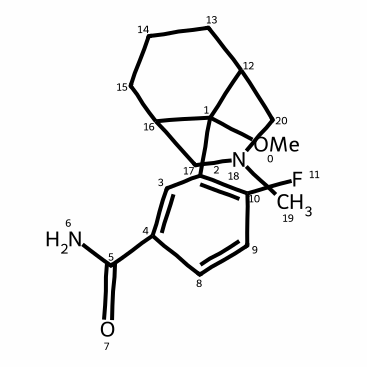 COC1(c2cc(C(N)=O)ccc2F)C2CCCC1CN(C)C2